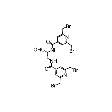 O=CC(CNC(=O)c1cc(CBr)nc(CBr)c1)NC(=O)c1cc(CBr)nc(CBr)c1